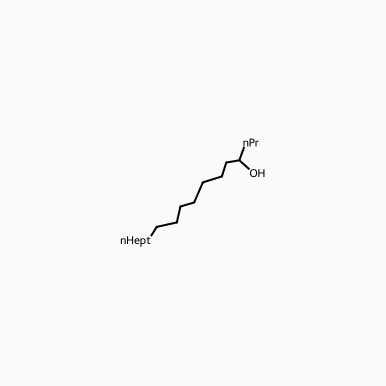 [CH2]CCCCCCCCCCCCCC(O)CCC